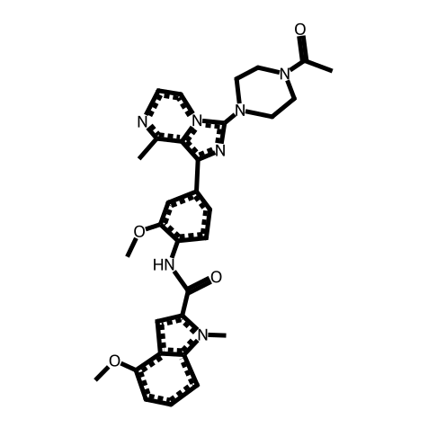 COc1cc(-c2nc(N3CCN(C(C)=O)CC3)n3ccnc(C)c23)ccc1NC(=O)c1cc2c(OC)cccc2n1C